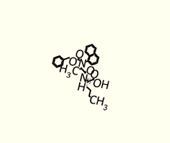 CCCC[C@H](NC(=O)C(C)N(C(=O)OCc1ccccc1)c1cccc2ccccc12)C(=O)O